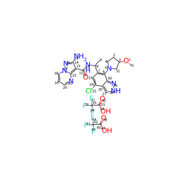 COC1CCN(c2c(C(C)NC(=O)c3c(N)nn4cccnc34)cc(Cl)c3c[nH]nc23)C1.O=C(O)C(F)(F)F.O=C(O)C(F)(F)F